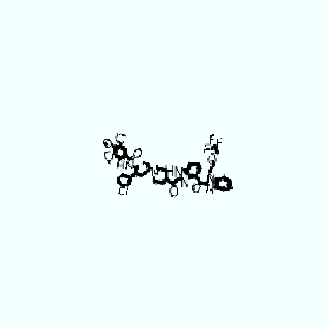 CCC(CC(CNC(=O)c1cc(OC)c(OC)c(OC)c1)c1cccc(Cl)c1)N1CCC(C(=O)c2nc3c(C(=O)c4nc5ccccc5n4CCOCC(F)(F)F)cccc3[nH]2)CC1